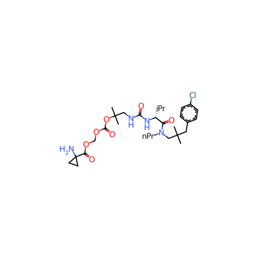 CCCN(CC(C)(C)Cc1ccc(Cl)cc1)C(=O)[C@H](NC(=O)NCC(C)(C)OC(=O)OCOC(=O)C1(N)CC1)C(C)C